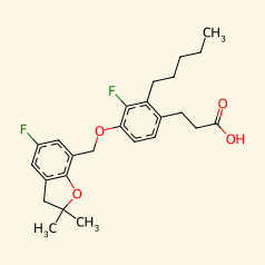 CCCCCc1c(CCC(=O)O)ccc(OCc2cc(F)cc3c2OC(C)(C)C3)c1F